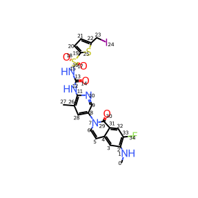 CNc1cc2ccn(-c3cnc(NC(=O)NS(=O)(=O)c4ccc(CI)s4)c(C)c3)c(=O)c2cc1F